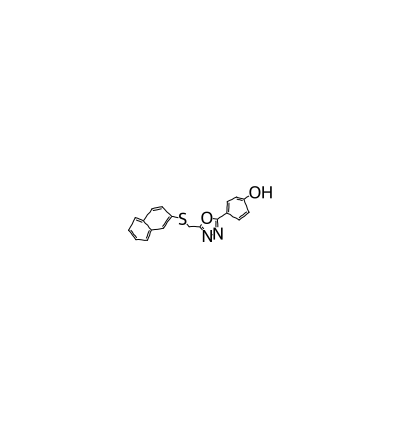 Oc1ccc(-c2nnc(CSc3ccc4ccccc4c3)o2)cc1